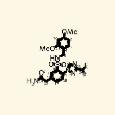 COc1ccc(CNS(=O)(=O)c2cc(CC(N)=O)ccc2-n2cnc(C(F)F)n2)c(OC)c1